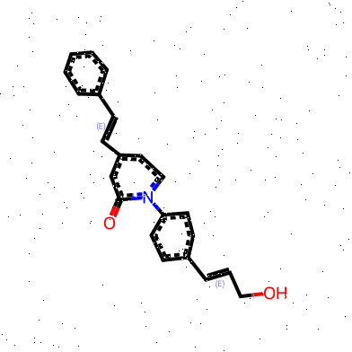 O=c1cc(/C=C/c2ccccc2)ccn1-c1ccc(/C=C/CO)cc1